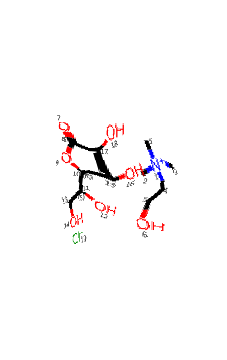 C[N+](C)(C)CCO.O=C1O[C@H]([C@@H](O)CO)C(O)=C1O.[Cl-]